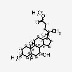 COC(=O)CC[C@@H](C)C1CCC2C3C(CC[C@@]21C)[C@@]1(C)CCC(C)C[C@@H]1C[C@H]3O